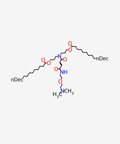 CCCCCCCCCCCCCCCCCCC(=O)OCCCN(CCCOC(=O)CCCCCCCCCCCCCCCCCC)C(=O)C=CC(=O)NCCOCCN(C)C